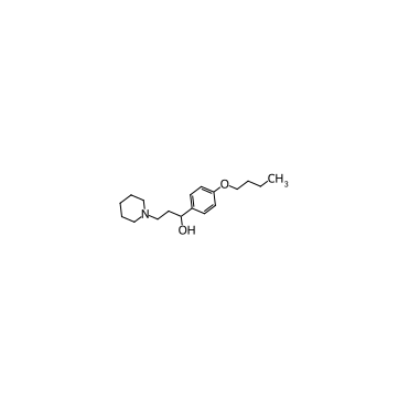 CCCCOc1ccc(C(O)CCN2CCCCC2)cc1